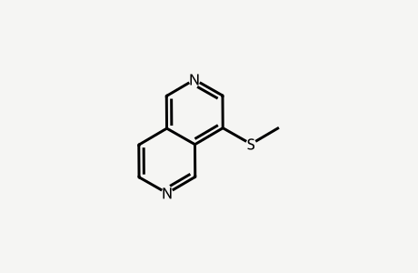 CSc1cncc2ccncc12